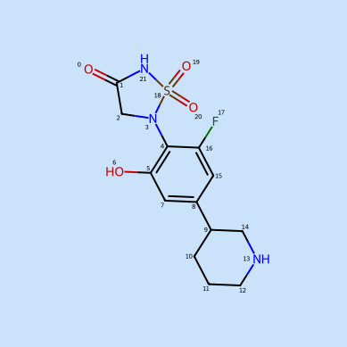 O=C1CN(c2c(O)cc(C3CCCNC3)cc2F)S(=O)(=O)N1